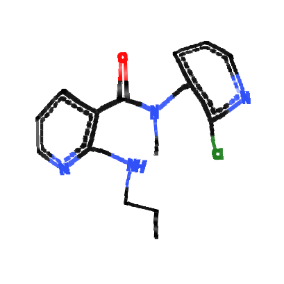 CCCNc1ncccc1C(=O)N(C)c1cccnc1Cl